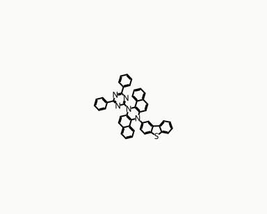 c1ccc(-c2nc(-c3ccccc3)nc(N3c4ccc5ccccc5c4N(c4ccc5sc6ccccc6c5c4)c4ccc5ccccc5c43)n2)cc1